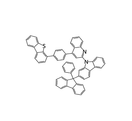 c1ccc(C2(c3ccc4c5ccccc5n(-c5cc(-c6ccc(-c7cccc8c7sc7ccccc78)cc6)c6ccccc6n5)c4c3)c3ccccc3-c3ccccc32)cc1